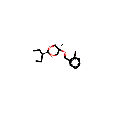 CCC(CC)[C@H]1OC[C@@](C)(OCc2ccccc2C)CO1